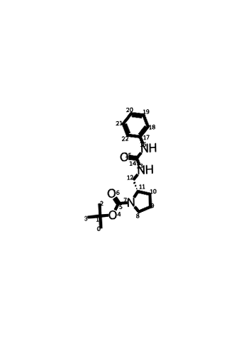 CC(C)(C)OC(=O)N1CCC[C@H]1CNC(=O)Nc1ccccc1